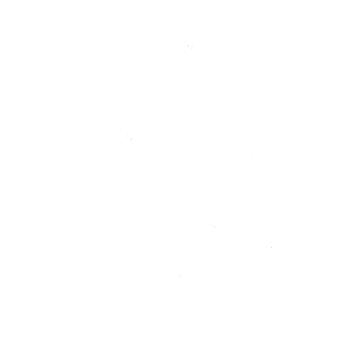 CCn1c(CC(=O)O)c(C)c2cc(N(Cc3ccccc3C#N)C(=O)c3ccc(-c4cccs4)cc3)ccc21